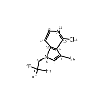 FC(F)(F)Cn1cc(I)c2c(Cl)nccc21